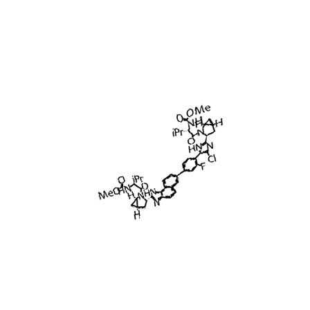 COC(=O)N[C@H](C(=O)N1[C@@H]2C[C@@H]2C[C@H]1c1nc(Cl)c(-c2ccc(-c3ccc4c(ccc5nc([C@@H]6C[C@H]7C[C@H]7N6C(=O)[C@@H](NC(=O)OC)C(C)C)[nH]c54)c3)cc2F)[nH]1)C(C)C